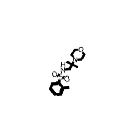 Cc1ccccc1S(=O)(=O)NCC(C)(C)N1CCOCC1